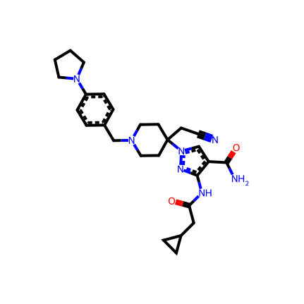 N#CCC1(n2cc(C(N)=O)c(NC(=O)CC3CC3)n2)CCN(Cc2ccc(N3CCCC3)cc2)CC1